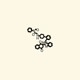 NC1(c2nc3ccccc3n2Cc2ccccc2C2CCC(NCC(=O)N(C=O)c3ccccc3)CC2)CC(=O)c2ccccc2C1=O